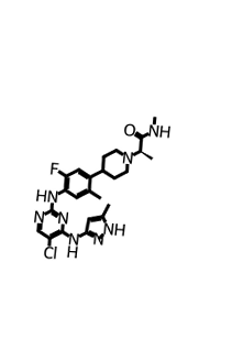 CNC(=O)[C@@H](C)N1CCC(c2cc(F)c(Nc3ncc(Cl)c(Nc4cc(C)[nH]n4)n3)cc2C)CC1